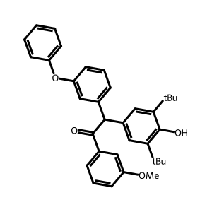 COc1cccc(C(=O)C(c2cccc(Oc3ccccc3)c2)c2cc(C(C)(C)C)c(O)c(C(C)(C)C)c2)c1